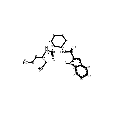 Cn1c(C(=O)N[C@H]2CCCC[C@H]2C(=O)N[C@H](CO)CCO)cc2ccccc21